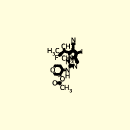 CC(=O)O[C@@H]1COCC[C@H]1Nc1ncc2c(I)c(C#N)c(C(C)C(C)(C)F)n2n1